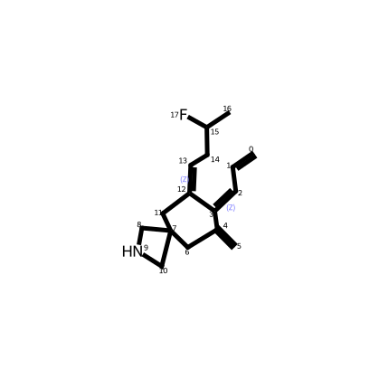 C=C/C=C1/C(=C)CC2(CNC2)C/C1=C/CC(C)F